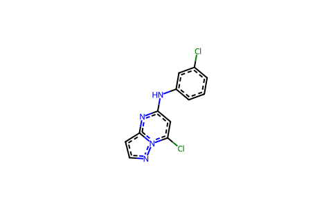 Clc1cccc(Nc2cc(Cl)n3nccc3n2)c1